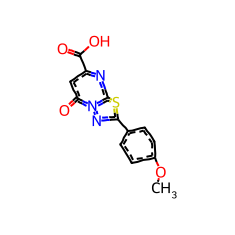 COc1ccc(-c2nn3c(=O)cc(C(=O)O)nc3s2)cc1